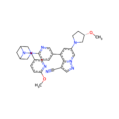 COc1ccc(CN2C3CC2CN(c2ccc(-c4cc(N5CC[C@H](OC)C5)cn5ncc(C#N)c45)cn2)C3)cn1